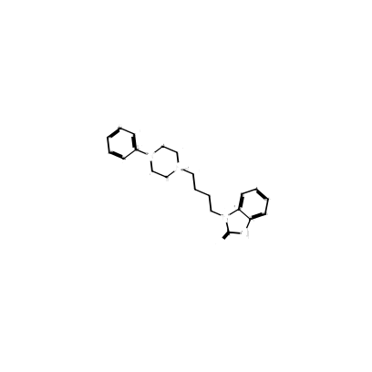 O=c1[nH]c2ccccc2n1CCCCN1CCN(c2ccccc2)CC1